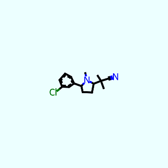 CN1C(c2cccc(Cl)c2)CCC1C(C)(C)C#N